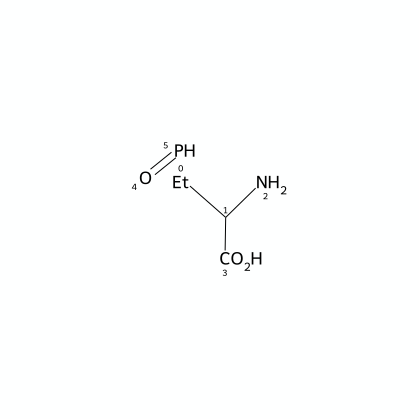 CCC(N)C(=O)O.O=P